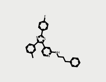 Cc1cccc(-c2nc(-c3ccc(F)cc3)sc2-c2ccnc(NCCCc3ccccc3)c2)c1